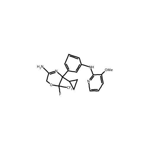 COc1cccnc1Nc1cccc(C2(C3CC3)N=C(N)COC2(F)C(F)(F)F)c1